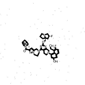 CCc1c(F)ccc2cc(O)cc(N3CCc4c(nc(OC[C@@]56CCCN5C[C@H](F)C6)nc4N4CCCn5nc(C(=O)N6CC7CC(C6)N7C)cc5C4)C3)c12